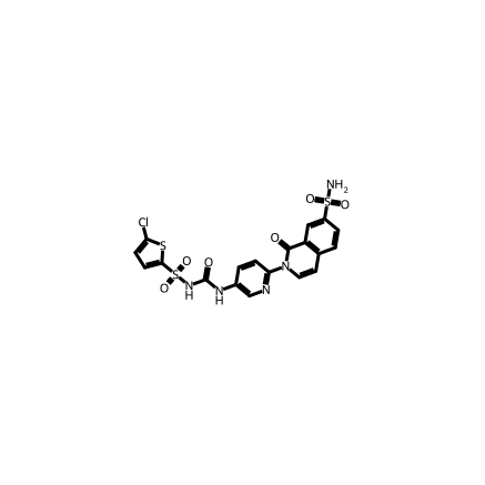 NS(=O)(=O)c1ccc2ccn(-c3ccc(NC(=O)NS(=O)(=O)c4ccc(Cl)s4)cn3)c(=O)c2c1